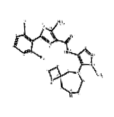 Cn1ncc(NC(=O)c2nc(-c3c(F)cccc3F)sc2N)c1N1CCNC[C@@]2(CCO2)C1